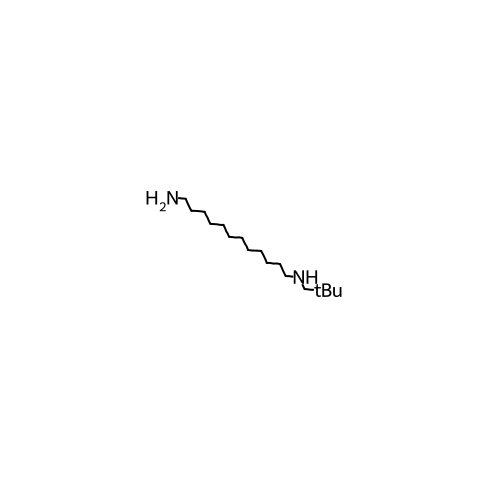 CC(C)(C)CNCCCCCCCCCCCCN